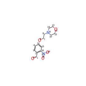 O=Cc1ccc(OCCN2CCOCC2)cc1[N+](=O)[O-]